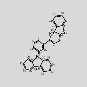 c1cc(-c2ccc3sc4ccccc4c3n2)cc(-n2c3ccccc3c3ccccc32)c1